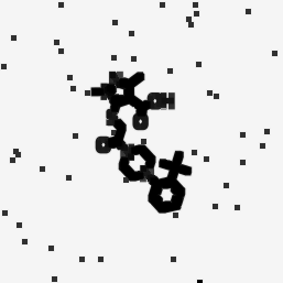 Cc1nn(C)c(SCC(=O)N2CCN(c3ccccc3C(C)(C)C)CC2)c1C(=O)O